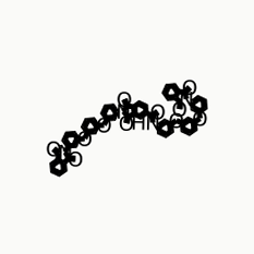 O=C(Nc1cccc(Oc2cccc(Oc3cccc(N4C(=O)c5ccccc5C4=O)c3)c2)c1)c1ccc2c(c1)C(=O)N(c1cccc(Oc3cccc(Oc4cccc(N5C(=O)c6ccccc6C5=O)c4)c3)c1)C2=O